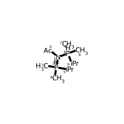 CC(=O)N([PH](C)(C)C(C)C)[PH](C)(C)C(C)C